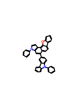 c1ccc(-n2ccc3c4c(ccc5c6ccccc6oc54)c(-c4ccc5c(c4)c4ccccc4n5-c4ccccc4)cc32)cc1